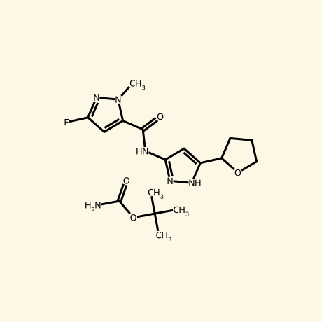 CC(C)(C)OC(N)=O.Cn1nc(F)cc1C(=O)Nc1cc(C2CCCO2)[nH]n1